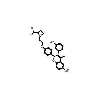 CC1=C(c2cccc(O)c2)C(c2ccc(OCCN3CCC3C(F)F)cc2)Oc2ccc(O)cc21